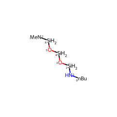 CCCCN[SiH2]O[SiH2]O[SiH2]NC